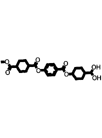 COC(=O)C1CCC(C(=O)Oc2ccc(C(=O)OC3CCC(C(O)O)CC3)cc2)CC1